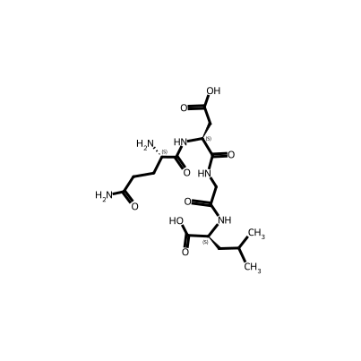 CC(C)C[C@H](NC(=O)CNC(=O)[C@H](CC(=O)O)NC(=O)[C@@H](N)CCC(N)=O)C(=O)O